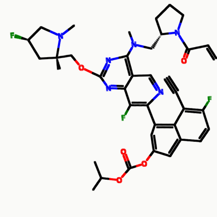 C#Cc1c(F)ccc2cc(OC(=O)OC(C)C)cc(-c3ncc4c(N(C)C[C@@H]5CCCN5C(=O)C=C)nc(OC[C@]5(C)C[C@@H](F)CN5C)nc4c3F)c12